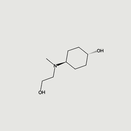 CN(CCO)[C@H]1CC[C@H](O)CC1